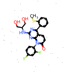 CSc1ccccc1-c1nc(NC(CO)CO)nc2c1ccc(=O)n2-c1ccc(F)cc1F